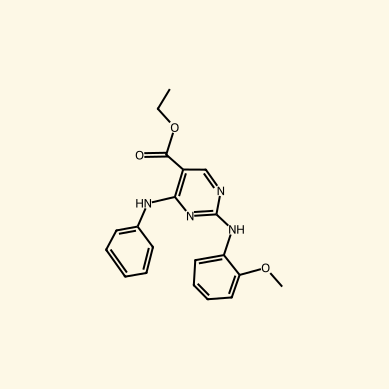 CCOC(=O)c1cnc(Nc2ccccc2OC)nc1Nc1ccccc1